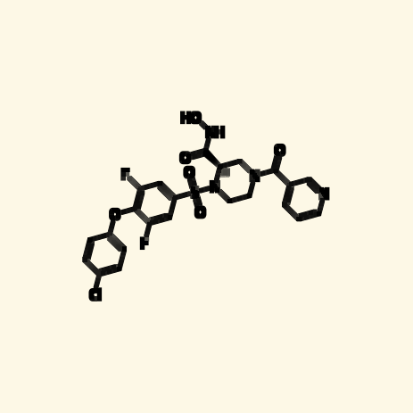 O=C(NO)[C@H]1CN(C(=O)c2cccnc2)CCN1S(=O)(=O)c1cc(F)c(Oc2ccc(Cl)cc2)c(F)c1